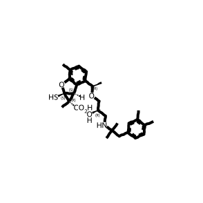 Cc1ccc(CC(C)(C)NC[C@@H](O)CO[C@H](C)c2ccc(C)c3c2[C@H]2[C@](C)(C(=O)O)[C@]2(S)O3)cc1C